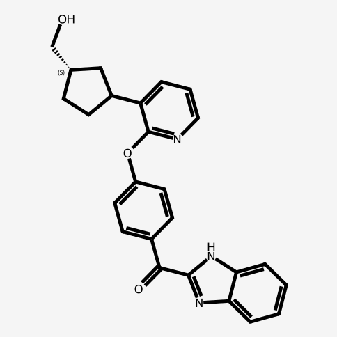 O=C(c1ccc(Oc2ncccc2C2CC[C@H](CO)C2)cc1)c1nc2ccccc2[nH]1